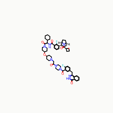 O=C(N[C@@H](C(=O)N1CCC(OC2CCN(CC(=O)N3CCN(C(=O)c4cc(Cc5n[nH]c(=O)c6ccccc56)ccc4F)CC3)CC2)CC1)C1CCCCC1)c1cccc([C@@H]2CC[C@@H]3CC[C@H]2N3C(=O)C23CC(C2)C3)c1F